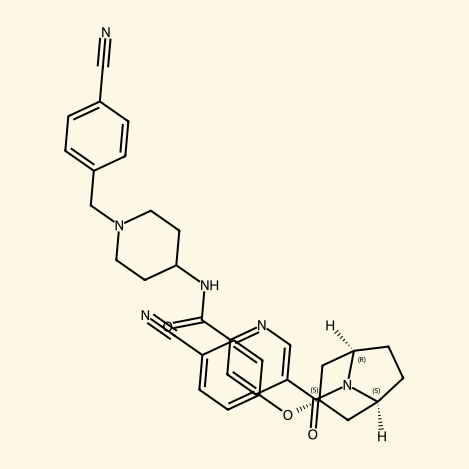 N#Cc1ccc(CN2CCC(NC(=O)c3ccc(C(=O)N4[C@@H]5CC[C@H]4C[C@H](Oc4ccc(C#N)cc4)C5)cn3)CC2)cc1